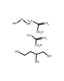 C=C(C)C(=O)O.C=C(C)C(=O)O.CCCOCCC.OCCC(O)CO